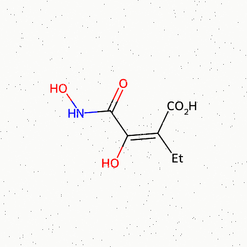 CC/C(C(=O)O)=C(\O)C(=O)NO